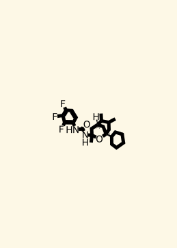 CC1C[C@@]2(C3CCCCC3)C[C@@H](CC(C)(NC(=O)Nc3ccc(F)c(F)c3F)O2)C1C